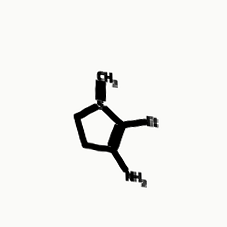 C=S1CCC(N)=C1CC